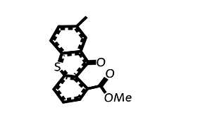 COC(=O)c1cccc2sc3ccc(C)cc3c(=O)c12